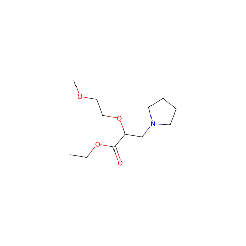 CCOC(=O)C(CN1CCCC1)OCCOC